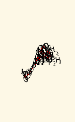 CN(CC(N)=O)C(=O)CN(C)C(=O)CN(C)C(=O)CN(C)C(=O)CN(C)C(=O)CN(C)C(=O)CN(C)C(=O)CN(C)C(=O)CN(C)C(=O)CN(C)C(=O)[C@H](CCC(=O)O)NC(=O)COCCOCCNC(=O)CCN1C(=O)C=CC1=O